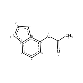 CC(=O)Oc1cccc2nscc12